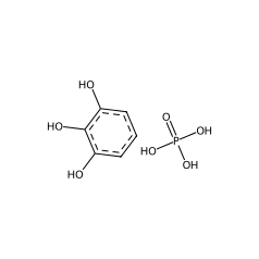 O=P(O)(O)O.Oc1cccc(O)c1O